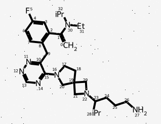 C=C(c1cc(F)ccc1Cc1nncnc1N1CCC2(C1)CN(C(CCCN)C(C)C)C2)N(CC)C(C)C